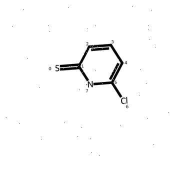 S=C1C=CC=C(Cl)[N]1